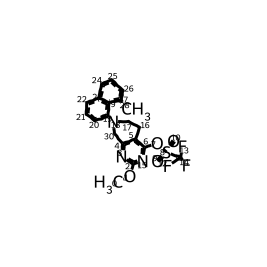 COc1nc2c(c(OS(=O)(=O)C(F)(F)F)n1)CCN(c1cccc3cccc(C)c13)C2